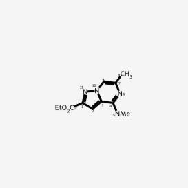 CCOC(=O)c1cc2c(NC)nc(C)cn2n1